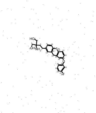 NC(CO)(CO)CCc1ccc2c(c1)Cc1cc(Oc3cccc(F)c3)ccc1S2